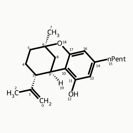 C=C(C)[C@@H]1CC[C@]2(C)C[C@H]1c1c(O)cc(CCCCC)cc1O2